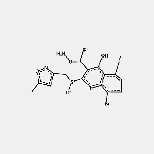 Cc1cc(C[S+]([O-])c2nc3c(Br)ccc(Cl)c3c(O)c2C(ON)C(C)C)no1